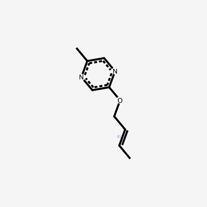 C/C=C/COc1cnc(C)cn1